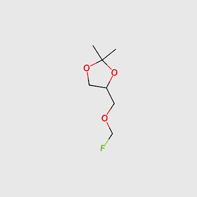 CC1(C)OCC(COCF)O1